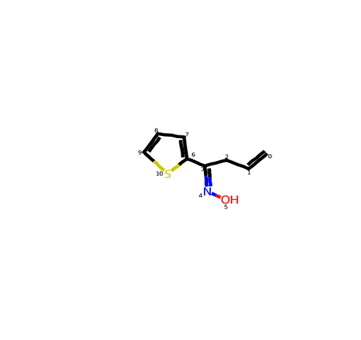 C=CC/C(=N\O)c1cccs1